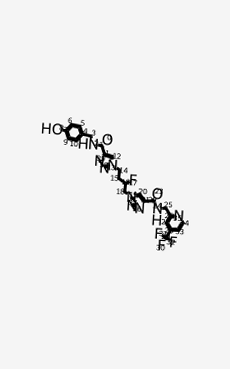 O=C(NCc1ccc(O)cc1)c1cn(CCC(F)Cn2cc(C(=O)NCc3cc(C(F)(F)F)ccn3)nn2)nn1